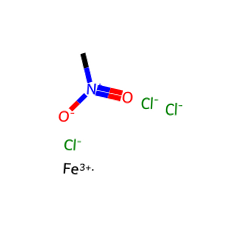 C[N+](=O)[O-].[Cl-].[Cl-].[Cl-].[Fe+3]